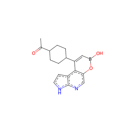 CC(=O)C1CCC(C2=CB(O)Oc3cnc4[nH]ccc4c32)CC1